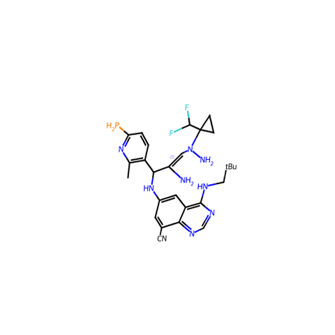 Cc1nc(P)ccc1C(Nc1cc(C#N)c2ncnc(NCC(C)(C)C)c2c1)/C(N)=C/N(N)C1(C(F)F)CC1